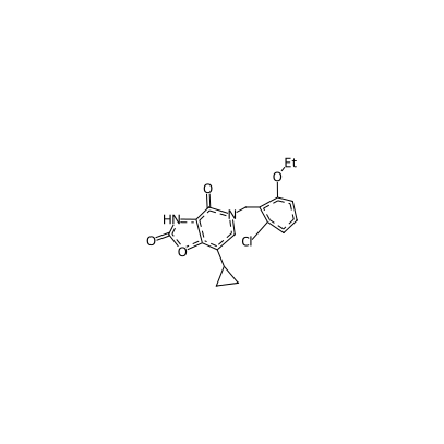 CCOc1cccc(Cl)c1Cn1cc(C2CC2)c2oc(=O)[nH]c2c1=O